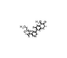 CC[S+]([O-])NC1(c2cncc(-c3cc4c(cc3F)N(C)C(=O)CC4)c2)CC1